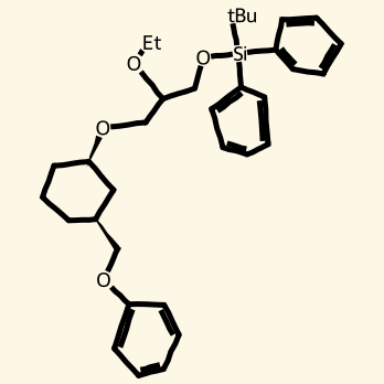 CCOC(CO[C@@H]1CCC[C@H](COc2ccccc2)C1)CO[Si](c1ccccc1)(c1ccccc1)C(C)(C)C